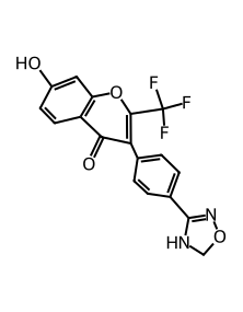 O=c1c(-c2ccc(C3=NOCN3)cc2)c(C(F)(F)F)oc2cc(O)ccc12